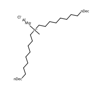 CCCCCCCCCCCCCCCCCC[N+](C)(C)CCCCCCCCCCCCCCCCCC.[Al].[Cl-].[Mg]